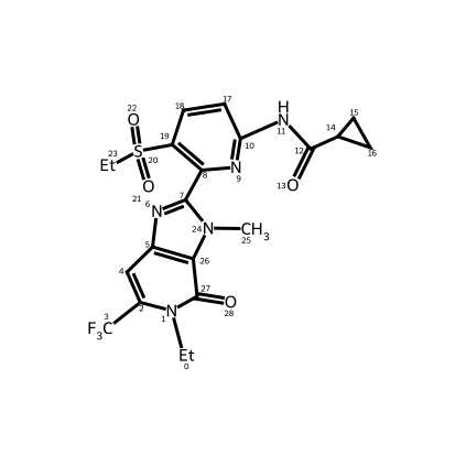 CCn1c(C(F)(F)F)cc2nc(-c3nc(NC(=O)C4CC4)ccc3S(=O)(=O)CC)n(C)c2c1=O